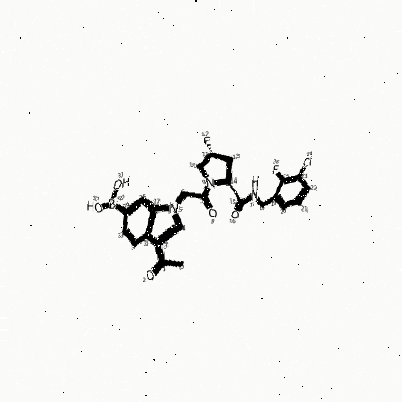 CC(=O)c1cn(CC(=O)N2C[C@H](F)C[C@H]2C(=O)NCc2cccc(Cl)c2F)c2cc(B(O)O)ccc12